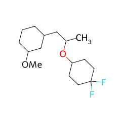 COC1CCCC(CC(C)OC2CCC(F)(F)CC2)C1